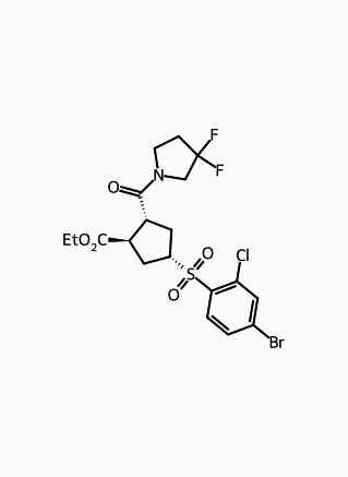 CCOC(=O)[C@@H]1C[C@@H](S(=O)(=O)c2ccc(Br)cc2Cl)C[C@H]1C(=O)N1CCC(F)(F)C1